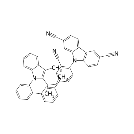 CCC(C)c1c(C)c2ccccc2n1-c1ccccc1-c1cccc(-c2ccc(-n3c4ccc(C#N)cc4c4ccc(C#N)cc43)c(C#N)c2)c1